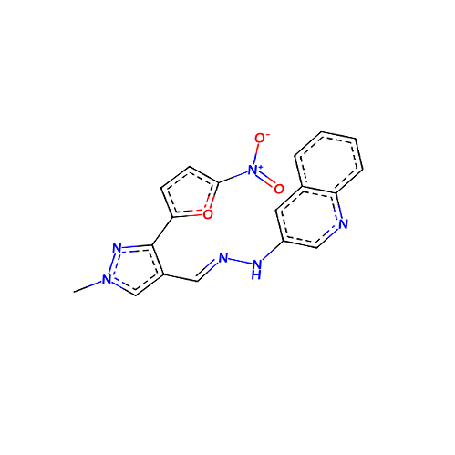 Cn1cc(/C=N/Nc2cnc3ccccc3c2)c(-c2ccc([N+](=O)[O-])o2)n1